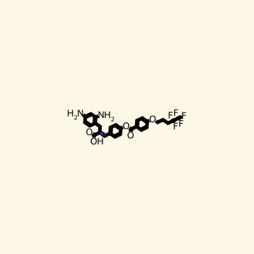 Nc1ccc(C/C(=C\c2ccc(OC(=O)c3ccc(OCCCC(F)(F)C(F)(F)F)cc3)cc2)C(=O)O)c(N)c1